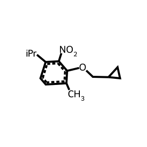 Cc1ccc(C(C)C)c([N+](=O)[O-])c1OCC1CC1